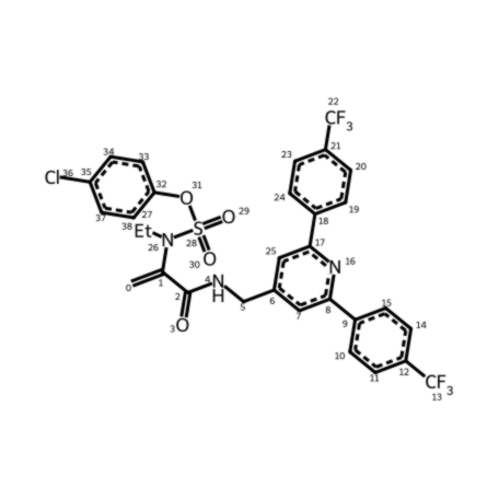 C=C(C(=O)NCc1cc(-c2ccc(C(F)(F)F)cc2)nc(-c2ccc(C(F)(F)F)cc2)c1)N(CC)S(=O)(=O)Oc1ccc(Cl)cc1